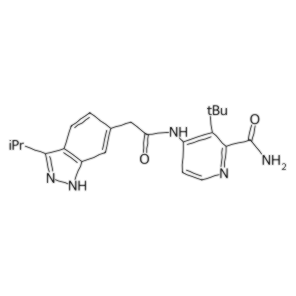 CC(C)c1n[nH]c2cc(CC(=O)Nc3ccnc(C(N)=O)c3C(C)(C)C)ccc12